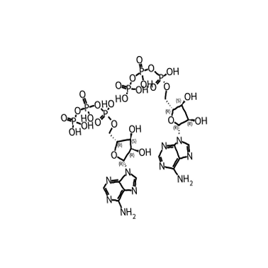 Nc1ncnc2c1ncn2[C@@H]1O[C@H](COP(=O)(O)OP(=O)(O)OP(=O)(O)O)[C@@H](O)[C@H]1O.Nc1ncnc2c1ncn2[C@@H]1O[C@H](COP(=O)(O)OP(=O)(O)OP(=O)(O)O)[C@@H](O)[C@H]1O